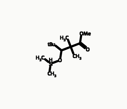 COC(=O)C(C)(C)C(O[SiH](C)C)C(C)(C)C